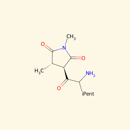 CCCC(C)C(N)C(=O)[C@@H]1C(=O)N(C)C(=O)[C@H]1C